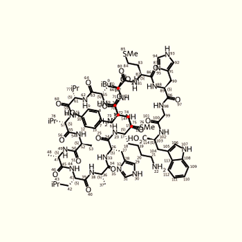 CC[C@H](C)[C@H](NC(=O)[C@H](Cc1ccc(O)cc1)NC(=O)[C@H](CCCCN)NC(=O)[C@H](Cc1c[nH]cn1)NC(=O)[C@H](C)NC(=O)[C@H](CC(C)C)NC(=O)[C@H](C)NC(=O)[C@H](C)NC(=O)[C@@H](NC(=O)[C@@H](NC(=O)[C@H](CCC(=O)O)NC(=O)[C@@H](N)CCSC)C(C)C)C(C)C)C(=O)N[C@@H](CCSC)C(=O)N[C@@H](Cc1c[nH]cn1)C(=O)NCC(=O)N[C@@H](Cc1c[nH]c2ccccc12)C(=O)O